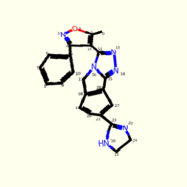 Cc1onc(-c2ccccc2)c1-c1nnc2n1Cc1ccc(C3=NCCN3)cc1-2